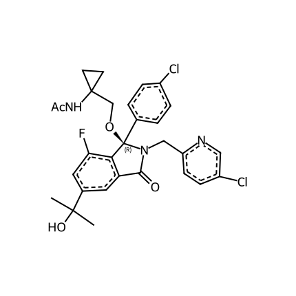 CC(=O)NC1(CO[C@]2(c3ccc(Cl)cc3)c3c(F)cc(C(C)(C)O)cc3C(=O)N2Cc2ccc(Cl)cn2)CC1